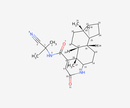 CC(C)(C#N)NC(=O)C1=CC(=O)NC2CC[C@@H]3[C@@H](CC[C@]4(C)CCC[C@@H]34)[C@@]12C